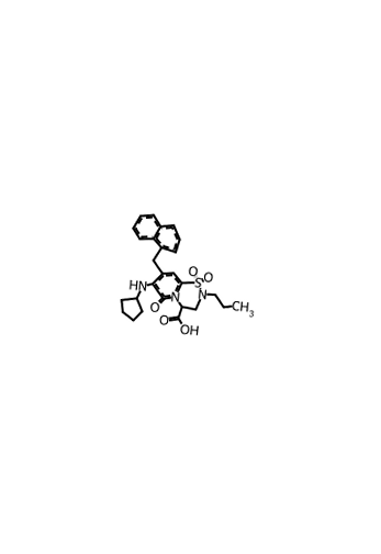 CCCN1CC(C(=O)O)n2c(cc(Cc3cccc4ccccc34)c(NC3CCCC3)c2=O)S1(=O)=O